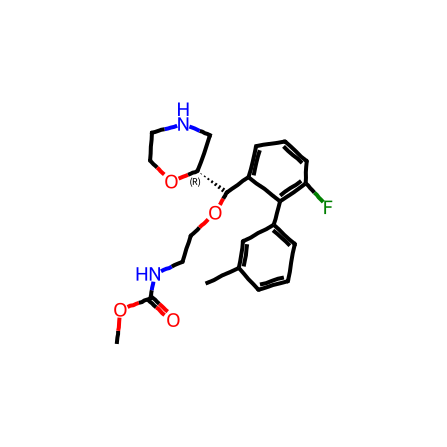 COC(=O)NCCOC(c1cccc(F)c1-c1cccc(C)c1)[C@H]1CNCCO1